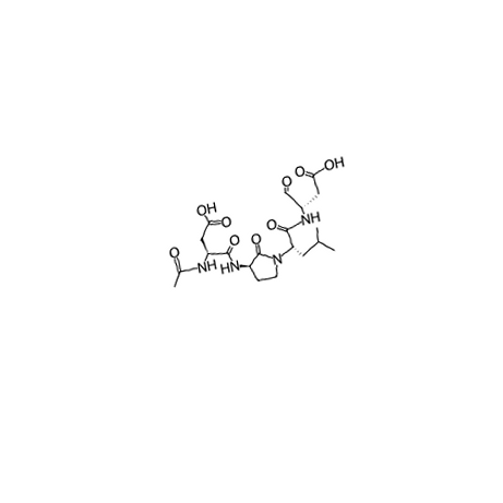 CC(=O)N[C@@H](CC(=O)O)C(=O)N[C@@H]1CCN([C@@H](CC(C)C)C(=O)N[C@H](C=O)CC(=O)O)C1=O